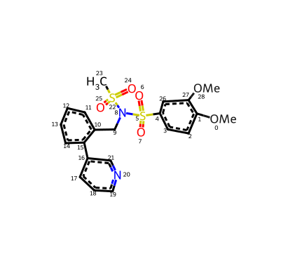 COc1ccc(S(=O)(=O)N(Cc2ccccc2-c2cccnc2)S(C)(=O)=O)cc1OC